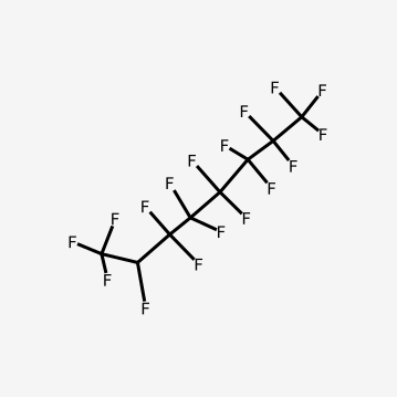 FC(C(F)(F)F)C(F)(F)C(F)(F)C(F)(F)C(F)(F)C(F)(F)C(F)(F)F